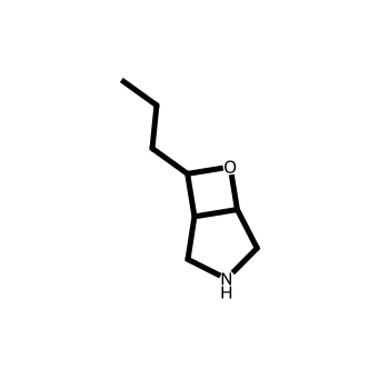 CCCC1OC2CNCC12